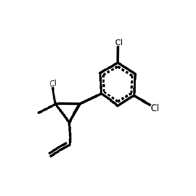 C=CC1C(c2cc(Cl)cc(Cl)c2)C1(C)Cl